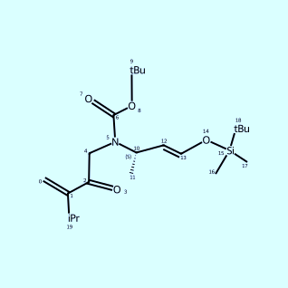 C=C(C(=O)CN(C(=O)OC(C)(C)C)[C@@H](C)C=CO[Si](C)(C)C(C)(C)C)C(C)C